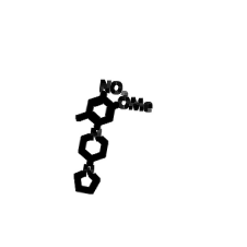 COc1cc(N2CCC(N3CCCC3)CC2)c(C)cc1[N+](=O)[O-]